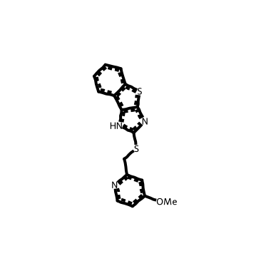 COc1ccnc(CSc2nc3sc4ccccc4c3[nH]2)c1